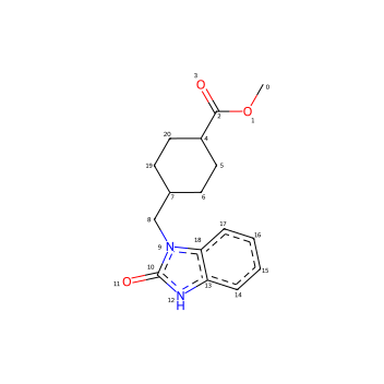 COC(=O)C1CCC(Cn2c(=O)[nH]c3ccccc32)CC1